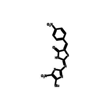 CC(C)(C)c1nc(N=C2NC(=O)C(=Cc3ccc([N+](=O)[O-])cc3)S2)sc1[N+](=O)[O-]